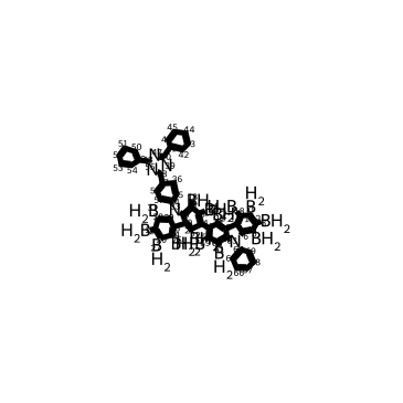 Bc1c(B)c(B)c2c(c1B)c1c(B)c(-c3c(B)c(B)c4c(c3B)c3c(B)c(B)c(B)c(B)c3n4-c3ccc(-c4nc(-c5ccccc5)nc(-c5ccccc5)n4)cc3)c(B)c(B)c1n2-c1ccccc1